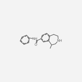 CC1CNCCc2ccc(C(=O)Nc3ccccc3)cc21